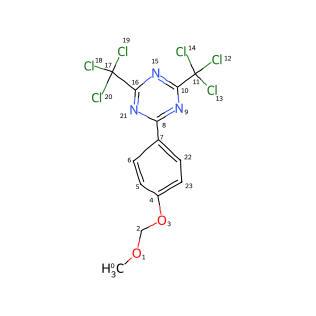 COCOc1ccc(-c2nc(C(Cl)(Cl)Cl)nc(C(Cl)(Cl)Cl)n2)cc1